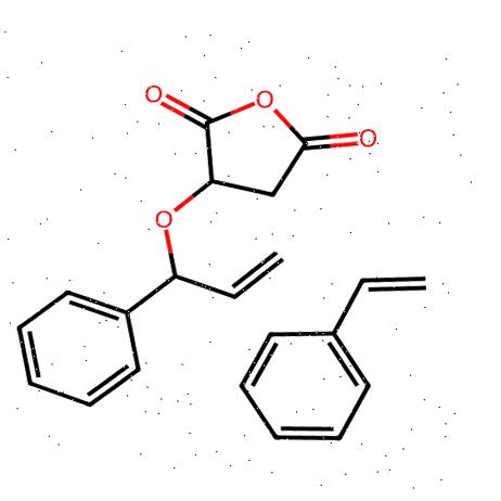 C=CC(OC1CC(=O)OC1=O)c1ccccc1.C=Cc1ccccc1